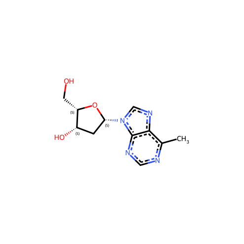 Cc1ncnc2c1ncn2[C@@H]1C[C@H](O)[C@H](CO)O1